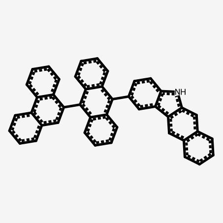 c1ccc2cc3c(cc2c1)[nH]c1ccc(-c2c4ccccc4c(-c4cc5ccccc5c5ccccc45)c4ccccc24)cc13